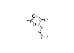 C/C=C\CC(OC(C)=O)C(C)=O